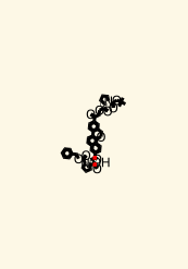 CC(C)(C)OC(=O)N1CCC[C@H]1C(=O)OCC(=O)c1ccc2c(c1)COc1c-2ccc2cc(C(=O)C[C@]3(C(=O)O)CCCN3C(=O)OCc3ccccc3)ccc12